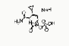 NC(=O)C1C(C2CC2)=CC2CN1C(=O)N2OS(=O)(=O)O.[NaH]